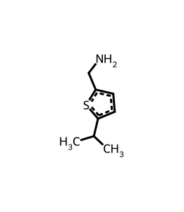 CC(C)c1ccc(CN)s1